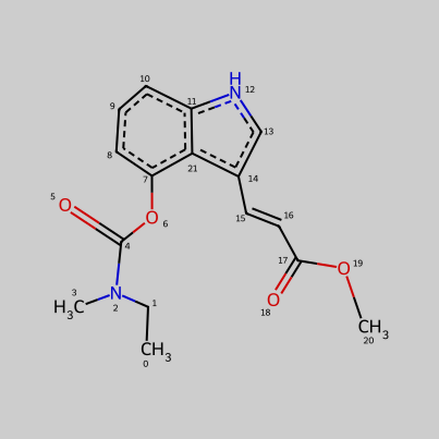 CCN(C)C(=O)Oc1cccc2[nH]cc(/C=C/C(=O)OC)c12